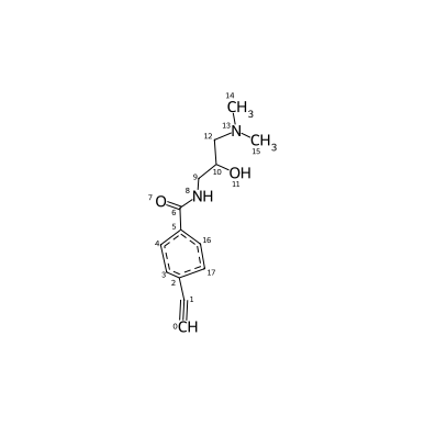 C#Cc1ccc(C(=O)NCC(O)CN(C)C)cc1